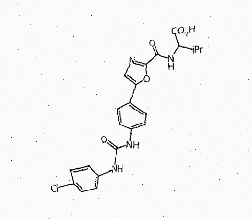 CC(C)C(NC(=O)c1ncc(-c2ccc(NC(=O)Nc3ccc(Cl)cc3)cc2)o1)C(=O)O